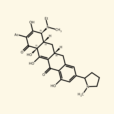 CCN(C)[C@@H]1C(O)=C(C(C)=O)C(=O)[C@@]2(O)C(O)=C3C(=O)c4c(O)cc(C5CCCN5C)cc4C[C@H]3C[C@@H]12